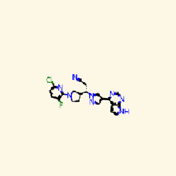 N#CC[C@@H]([C@H]1CCN(c2nc(Cl)ccc2F)C1)n1cc(-c2ncnc3[nH]ccc23)cn1